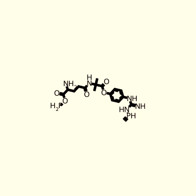 C#[PH]NC(=N)Nc1ccc(OC(=O)C(C)(C)NC(=O)CCC(N)C(=O)OP)cc1